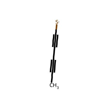 CC#CC#C[S]